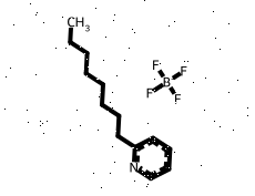 CCCCCCCCc1ccccn1.F[B-](F)(F)F